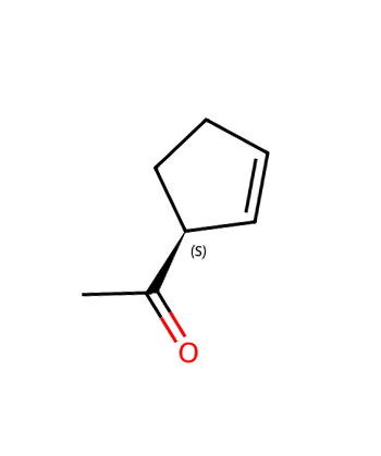 CC(=O)[C@@H]1C=CCC1